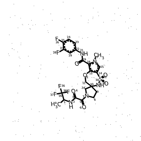 CC(NC(=O)C(=O)N1CCC2(COc3c(cn(C)c3C(=O)Nc3ccc(F)c(F)c3)S(=O)(=O)N2)C1)C(F)(F)F